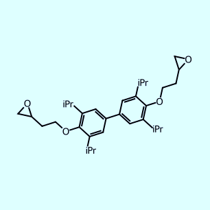 CC(C)c1cc(-c2cc(C(C)C)c(OCCC3CO3)c(C(C)C)c2)cc(C(C)C)c1OCCC1CO1